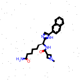 CN1CC(C(=O)N[C@@H](CCCCCC(N)=O)c2ncc(-c3ccc4ccccc4c3)[nH]2)C1